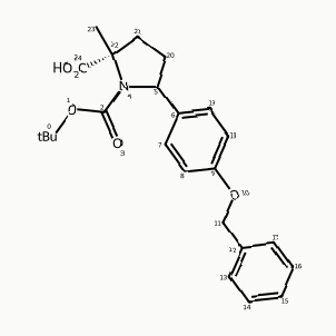 CC(C)(C)OC(=O)N1C(c2ccc(OCc3ccccc3)cc2)CC[C@@]1(C)C(=O)O